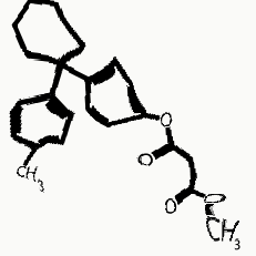 COC(=O)CC(=O)Oc1ccc(C2(c3ccc(C)cc3)CCCCC2)cc1